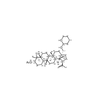 C=C(C)[C@@H]1CC[C@]2(COC3CCCCO3)CC[C@]3(C)[C@H](CC[C@@H]4[C@@]5(C)CC[C@H](OC(C)=O)C(C)(C)[C@@H]5CC[C@]43C)[C@@H]12